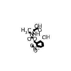 CCN(NCC(=O)O)C(=O)OCc1ccccc1[N+](=O)[O-].Cl